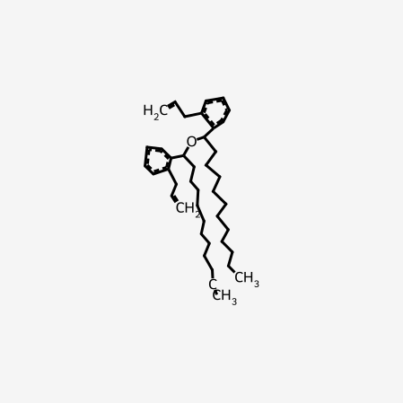 C=CCc1ccccc1C(CCCCCCCCCCC)OC(CCCCCCCCCCC)c1ccccc1CC=C